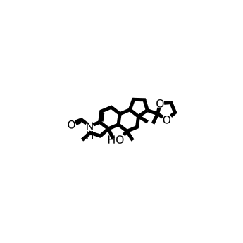 CCCC1(C)C(NC=O)=CCC2C1C(C)(O)CC1(C)C2CCC1C1(C)OCCO1